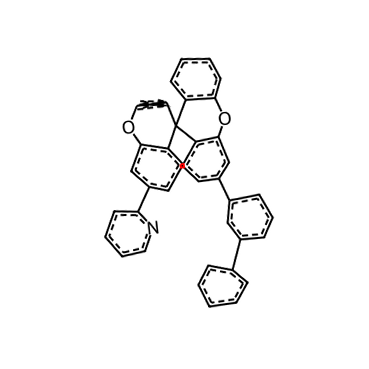 c1ccc(-c2cccc(-c3ccc4c(c3)Oc3ccccc3C43c4ccccc4Oc4cc(-c5ccccn5)ccc43)c2)cc1